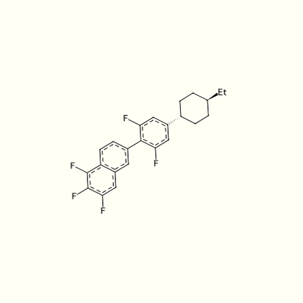 CC[C@H]1CC[C@H](c2cc(F)c(-c3ccc4c(F)c(F)c(F)cc4c3)c(F)c2)CC1